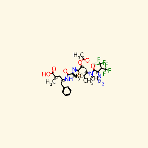 CC(=O)O[C@H](C[C@H](C(C)C)N(C)C(=O)[C@H](N)C(C(F)(F)F)C(F)(F)F)c1nc(C(=O)N[C@@H](Cc2ccccc2)C[C@H](C)C(=O)O)cs1